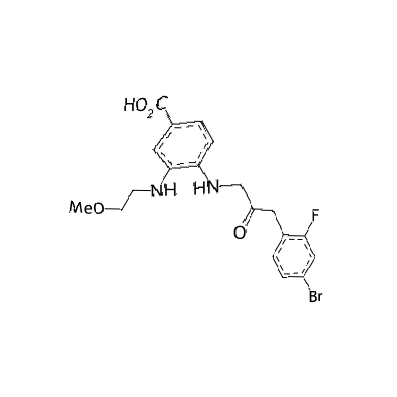 COCCNc1cc(C(=O)O)ccc1NCC(=O)Cc1ccc(Br)cc1F